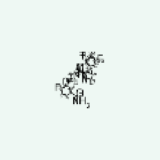 NC(=O)c1ccc(F)c(OC2CN(C(=O)N3N=CC[C@H]3c3cc(F)cc(F)c3)C2)c1